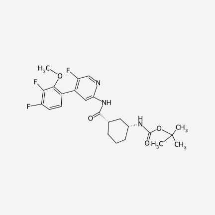 COc1c(-c2cc(NC(=O)[C@H]3CCC[C@@H](NC(=O)OC(C)(C)C)C3)ncc2F)ccc(F)c1F